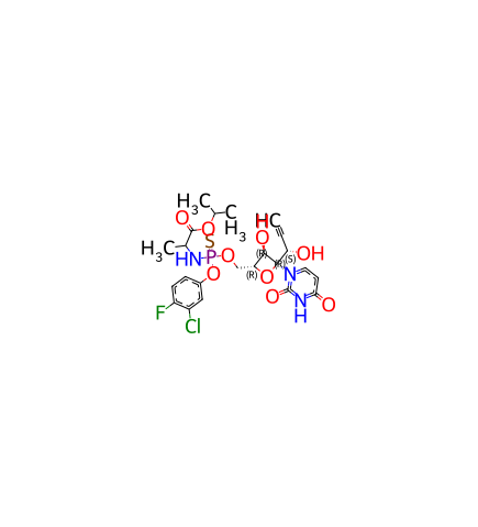 C#C[C@H](O)[C@@]1(n2ccc(=O)[nH]c2=O)O[C@H](COP(=S)(NC(C)C(=O)OC(C)C)Oc2ccc(F)c(Cl)c2)[C@H]1O